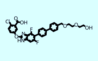 O=C(O)c1cc(Oc2nc3c(F)c(-c4ccc(-c5ccc(COCCOCCO)cc5)cc4)c(F)cc3[nH]2)ccc1Cl